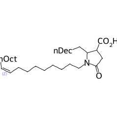 CCCCCCCC/C=C\CCCCCCCCN1C(=O)CC(C(=O)O)C1CCCCCCCCCCC